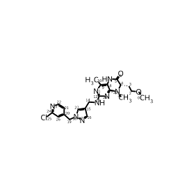 COCC[C@H]1C(=O)Nc2c(C)nc(NCc3cnn(Cc4ccnc(Cl)c4)c3)nc2N1C